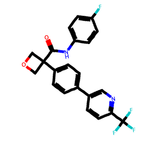 O=C(Nc1ccc(F)cc1)C1(c2ccc(-c3ccc(C(F)(F)F)nc3)cc2)COC1